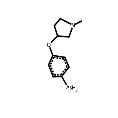 CN1CCC(Oc2ccc([AsH2])cc2)C1